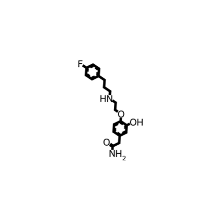 NC(=O)Cc1ccc(OCCNCCCc2ccc(F)cc2)c(O)c1